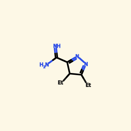 CCC1=NN=C(C(=N)N)C1CC